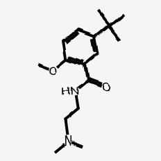 COc1ccc(C(C)(C)C)cc1C(=O)NCCN(C)C